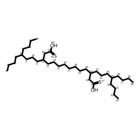 CCCCC(CCCC)CCCC(CCCCCCCCC(CCCC(CCCC)CCCC)CC(O)=S)CC(O)=S